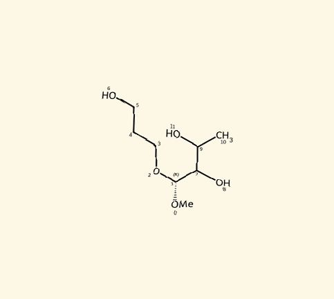 CO[C@H](OCCCO)C(O)C(C)O